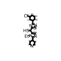 CCn1c(-c2ccncc2)nnc1C(S)c1nc(-c2cccc(Cl)c2)no1